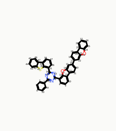 c1ccc(-c2nc(-c3cccc4c3oc3cc(-c5ccc6c(c5)oc5ccccc56)ccc34)nc(-c3cccc4c3sc3ccccc34)n2)cc1